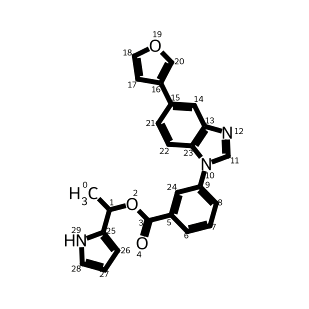 CC(OC(=O)c1cccc(-n2cnc3cc(-c4ccoc4)ccc32)c1)c1ccc[nH]1